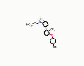 CN(CCC(=O)O)c1cccc(-c2cccc(OC3CCC(C(C)(C)C)CC3)c2C(F)(F)F)c1